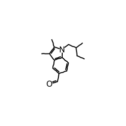 CCC(C)Cn1c(C)c(C)c2cc(C=O)ccc21